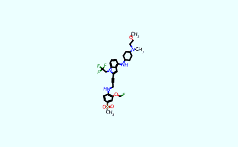 COCCN(C)C1CCC(Nc2cccc3c2cc(C#CCNc2ccc(S(C)(=O)=O)cc2OCF)n3CC(F)(F)F)CC1